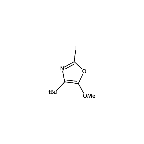 COc1oc(I)nc1C(C)(C)C